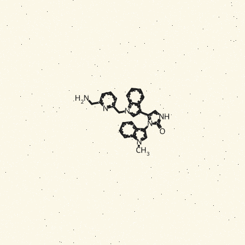 Cn1cc(-n2c(-c3cn(Cc4cccc(CN)n4)c4ccccc34)c[nH]c2=O)c2ccccc21